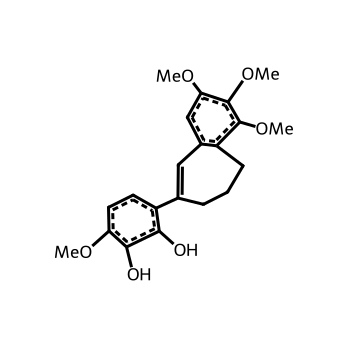 COc1ccc(C2=Cc3cc(OC)c(OC)c(OC)c3CCC2)c(O)c1O